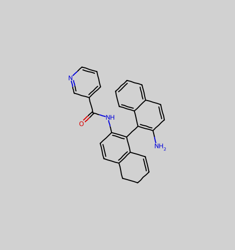 Nc1ccc2ccccc2c1-c1c(NC(=O)c2cccnc2)ccc2c1C=CCC2